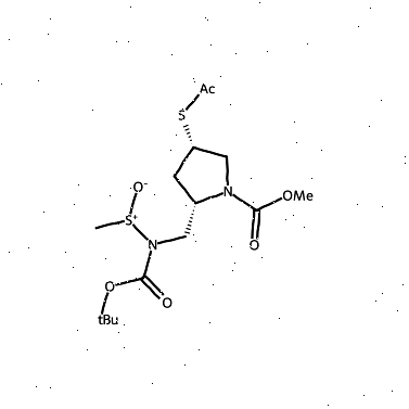 COC(=O)N1C[C@@H](SC(C)=O)C[C@H]1CN(C(=O)OC(C)(C)C)[S+](C)[O-]